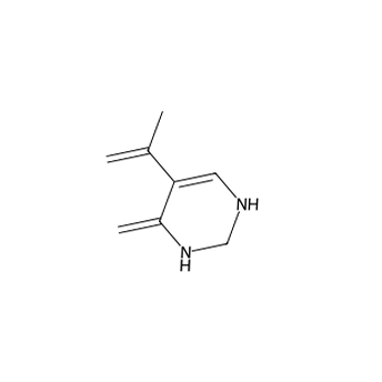 C=C(C)C1=CNCNC1=C